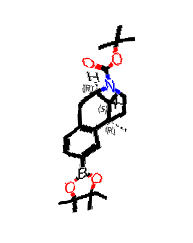 C[C@@H]1[C@H]2Cc3ccc(B4OC(C)(C)C(C)(C)O4)cc3[C@]1(C)CCN2C(=O)OC(C)(C)C